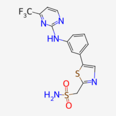 NS(=O)(=O)Cc1ncc(-c2cccc(Nc3nccc(C(F)(F)F)n3)c2)s1